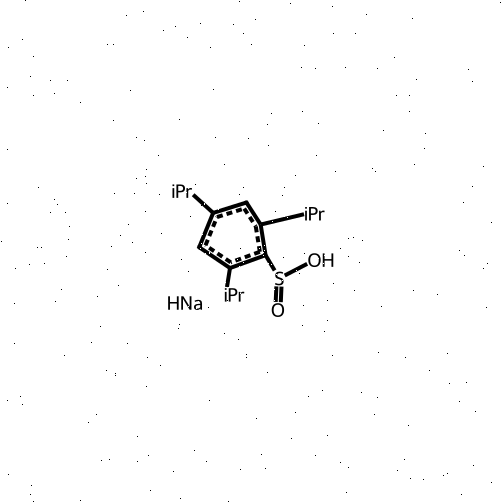 CC(C)c1cc(C(C)C)c(S(=O)O)c(C(C)C)c1.[NaH]